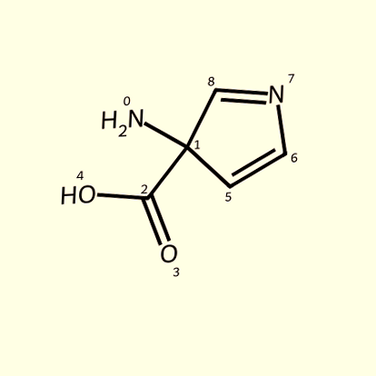 NC1(C(=O)O)C=CN=C1